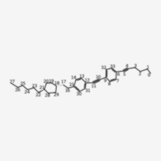 CCCCC#Cc1ccc(C#Cc2ccc(CC[C@H]3CC[C@H](CCCCCC)CC3)cc2)cc1